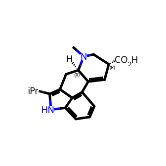 CC(C)c1[nH]c2cccc3c2c1C[C@@H]1C3=C[C@@H](C(=O)O)CN1C